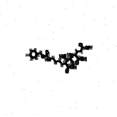 O=C(O)CC[C@H](NC(=S)N(O)C(CCCCNC(=O)OCc1ccccc1)C(=O)O)C(=O)O